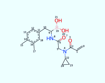 C=CC(=O)N(CC(=O)NC(Cc1ccc(C)c(C)c1)B(O)O)C1CC1